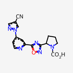 N#Cc1cnn(-c2ccnc(-c3nc(C4CCCN4C(=O)O)no3)c2)c1